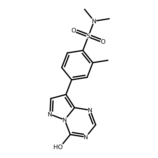 Cc1cc(-c2cnn3c(O)ncnc23)ccc1S(=O)(=O)N(C)C